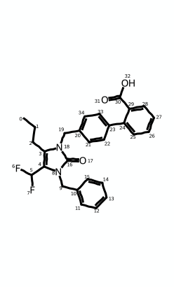 CCCc1c(C(F)F)n(Cc2ccccc2)c(=O)n1Cc1ccc(-c2ccccc2C(=O)O)cc1